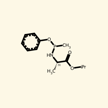 CC(C)OC(=O)[C@H](C)NP(C)Oc1ccccc1